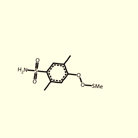 CSOOc1cc(C)c(S(N)(=O)=O)cc1C